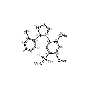 CNS(=O)(=O)c1cc(-c2ccnn2-c2ccccc2Cl)c(OC)cc1OC